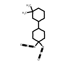 CC1(C)CCCC(C2CCC(N=C=O)(N=C=O)CC2)C1